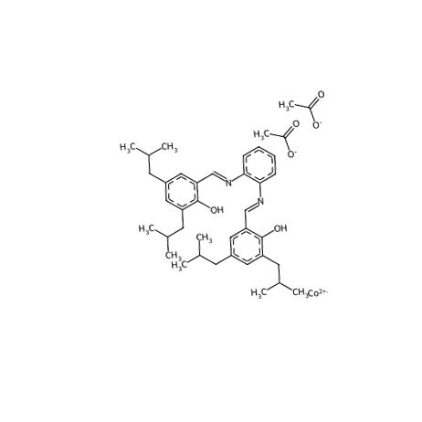 CC(=O)[O-].CC(=O)[O-].CC(C)Cc1cc(C=Nc2ccccc2N=Cc2cc(CC(C)C)cc(CC(C)C)c2O)c(O)c(CC(C)C)c1.[Co+2]